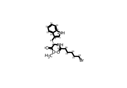 COC(=O)[C@H](Cc1c[nH]c2ccccc12)NC(=O)CCCCCBr